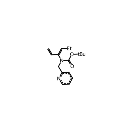 C=C/C(=C/CC)N(Cc1ccccn1)C(=O)OC(C)(C)C